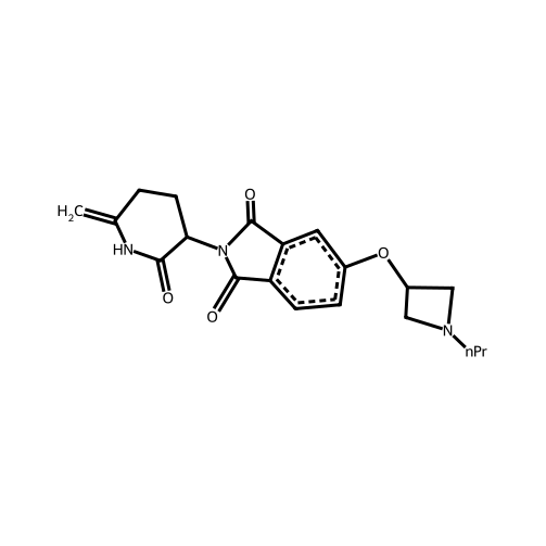 C=C1CCC(N2C(=O)c3ccc(OC4CN(CCC)C4)cc3C2=O)C(=O)N1